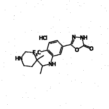 CC(Nc1cc(-c2n[nH]c(=O)o2)ccc1C(F)(F)F)C1(C)CCNCC1.Cl